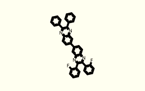 Fc1ccccc1-c1nc2ccc(-c3ccc4nc(-c5ccccc5)c(-c5ccccc5)nc4c3)cc2nc1-c1ccccc1F